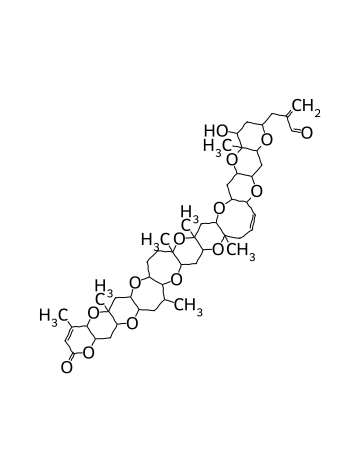 C=C(C=O)CC1CC(O)C2(C)OC3CC4OC5CC6(C)OC7(C)CCC8OC9CC%10(C)OC%11C(C)=CC(=O)OC%11CC%10OC9CC(C)C8OC7CC6OC5(C)CC=CC4OC3CC2O1